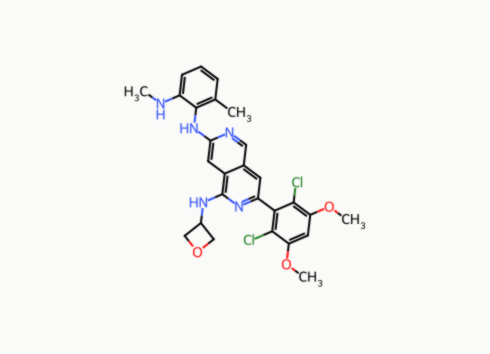 CNc1cccc(C)c1Nc1cc2c(NC3COC3)nc(-c3c(Cl)c(OC)cc(OC)c3Cl)cc2cn1